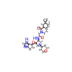 O=C(CN1CCc2ccc(C(F)(F)F)cc2C1=O)NC1CN(C2CCOCC2)C[C@@H]1OC1CCc2nc[nH]c21